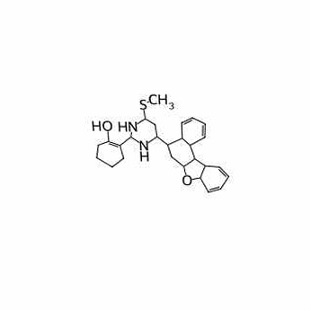 CSC1CC(C2CC3OC4C=CC=CC4C3C3C=CC=CC32)NC(C2=C(O)CCCC2)N1